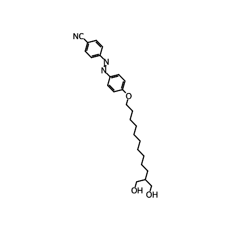 N#Cc1ccc(/N=N/c2ccc(OCCCCCCCCCCC(CO)CO)cc2)cc1